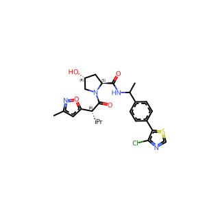 Cc1cc([C@H](C(=O)N2C[C@H](O)C[C@H]2C(=O)NC(C)c2ccc(-c3scnc3Cl)cc2)C(C)C)on1